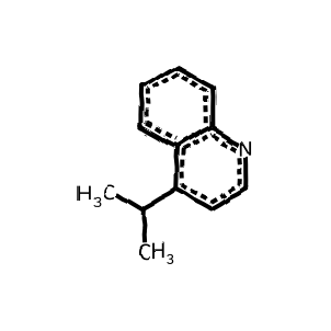 CC(C)c1ccnc2ccccc12